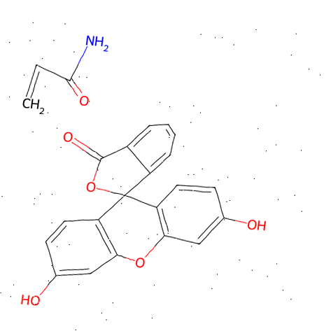 C=CC(N)=O.O=C1OC2(c3ccc(O)cc3Oc3cc(O)ccc32)c2ccccc21